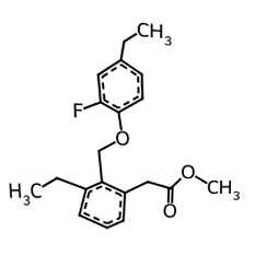 CCc1ccc(OCc2c(CC)cccc2CC(=O)OC)c(F)c1